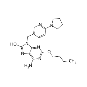 CCCCOc1nc(N)c2nc(O)n(Cc3ccc(N4CCCC4)nc3)c2n1